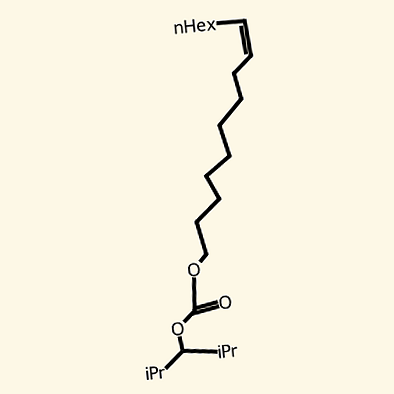 CCCCCC/C=C\CCCCCCCCOC(=O)OC(C(C)C)C(C)C